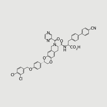 N#Cc1ccc(-c2ccc(CC(NC(=O)[C@@H]3Cc4cc5c(cc4CN3C(=O)c3cnccn3)O[C@@H](c3ccc(OCc4ccc(Cl)c(Cl)c4)cc3)CO5)C(=O)O)cc2)cc1